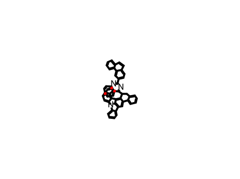 c1ccc2c(c1)CC(c1nc(-c3ccc4ccc5ccccc5c4c3)nc3ccccc13)c1c-2cc2c3ccccc3n3c4ccc5ccccc5c4c1c23